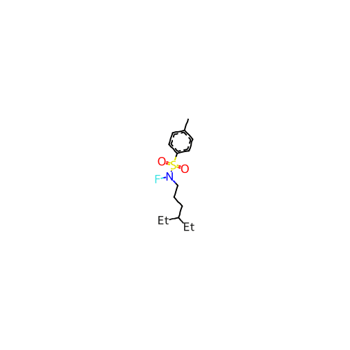 CCC(CC)CCCN(F)S(=O)(=O)c1ccc(C)cc1